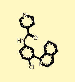 O=C(Nc1ccc(Cl)c(-c2nccc3ccccc23)c1)c1ccncc1